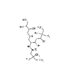 CCC(C)(C)CC(=S)NC(CNCC(O)C(O)CO)C(O)CC(O)C(C)(C)CC